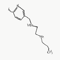 CCCNCCNCc1ccc(I)nc1